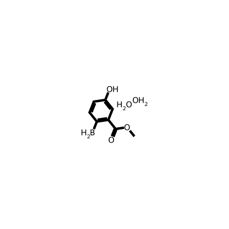 Bc1ccc(O)cc1C(=O)OC.O.O